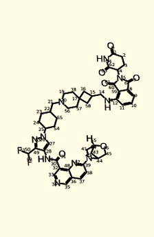 O=C1CCC(N2C(=O)c3cccc(NCC4CC5(CCN(CC6CCC(n7cc(NC(=O)c8cncc9ccc(N%10C[C@H]%11CC%10CO%11)nc89)c(C(F)F)n7)CC6)CC5)C4)c3C2=O)C(=O)N1